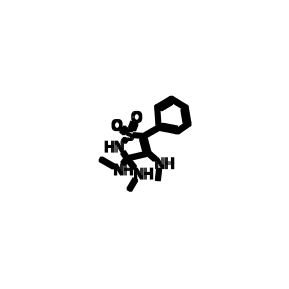 CNC1=C(c2ccccc2)S(=O)(=O)NC1(NC)NC